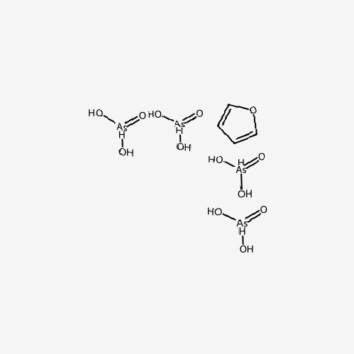 O=[AsH](O)O.O=[AsH](O)O.O=[AsH](O)O.O=[AsH](O)O.c1ccoc1